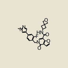 Cn1cc(-c2ccc(Cn3cc(C(=O)NC4CC5(COC5)C4)c4occc4c3=O)c(F)c2)cn1